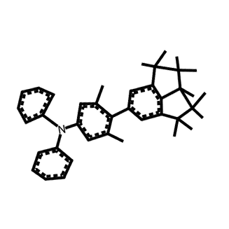 Cc1cc(N(c2ccccc2)c2ccccc2)cc(C)c1-c1cc2c3c(c1)C(C)(C)C(C)(C)C3(C)C(C)(C)C2(C)C